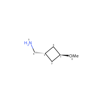 CO[C@H]1C[C@H](CN)C1